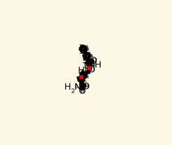 Nc1c(N2CCc3ccc(CNC(=O)c4nc5sc6c(c5c(=O)[nH]4)CCC(c4ccccc4)C6)cc3C2)c(=O)c1=O